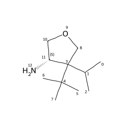 CC(C)C1(C(C)(C)C)COC[C@H]1N